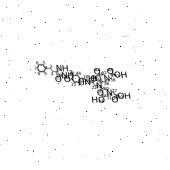 NC(CCc1ccccc1)C(=O)NOc1ccc(CNC(=O)CN(CCN(CC(=O)O)CC(=O)O)CCN(CC(=O)O)CC(=O)O)cc1